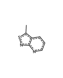 Cc1snc2ncccc12